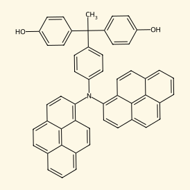 CC(c1ccc(O)cc1)(c1ccc(O)cc1)c1ccc(N(c2ccc3ccc4cccc5ccc2c3c45)c2ccc3ccc4cccc5ccc2c3c45)cc1